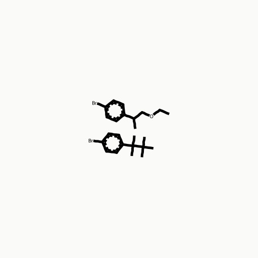 CC(C)(C)C(C)(C)c1ccc(Br)cc1.CCOCC(C)c1ccc(Br)cc1